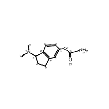 CN(C)C1CCc2cc(OC(N)=O)ccc21